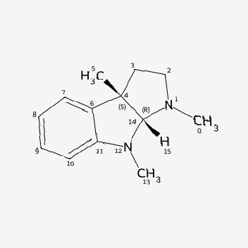 CN1CC[C@@]2(C)c3cc[c]cc3N(C)[C@@H]12